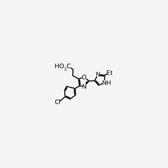 CCc1nc(-c2nc(-c3ccc(Cl)cc3)c(CCC(=O)O)o2)c[nH]1